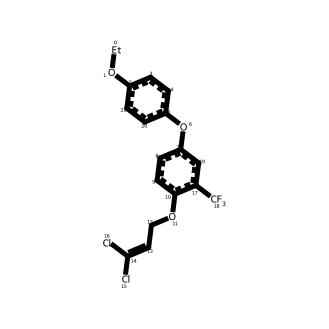 CCOc1ccc(Oc2ccc(OCC=C(Cl)Cl)c(C(F)(F)F)c2)cc1